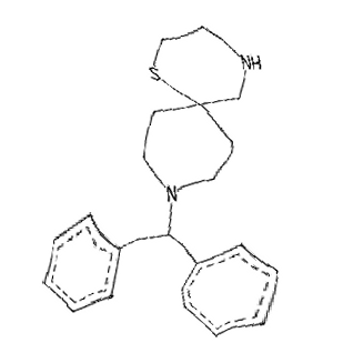 c1ccc(C(c2ccccc2)N2CCC3(CC2)CNCCS3)cc1